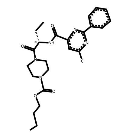 CCCCOC(=O)N1CCN(C(=O)[C@H](CC)NC(=O)c2cc(Cl)nc(-c3ccccc3)n2)CC1